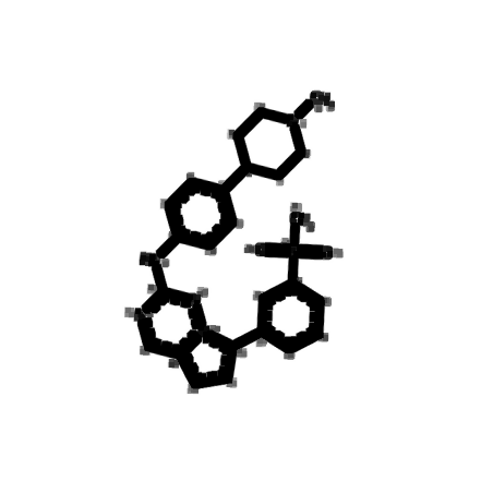 CN1CCC(c2ccc(Nc3ncc4ccc(-c5cccc(S(C)(=O)=O)c5)n4n3)cc2)CC1